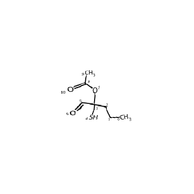 CCCC(S)(C=O)OC(C)=O